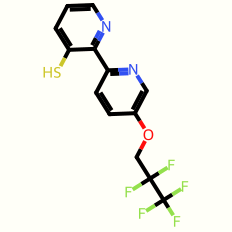 FC(F)(F)C(F)(F)COc1ccc(-c2ncccc2S)nc1